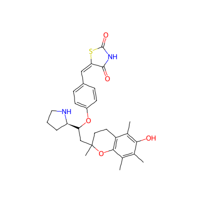 Cc1c(C)c2c(c(C)c1O)CCC(C)(CC(Oc1ccc(C=C3SC(=O)NC3=O)cc1)[C@H]1CCCN1)O2